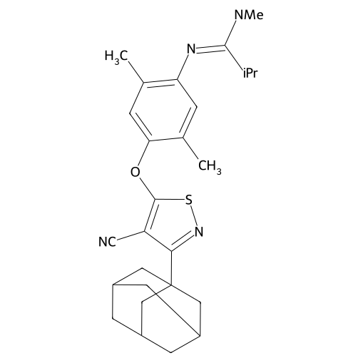 CNC(=Nc1cc(C)c(Oc2snc(C34CC5CC(CC(C5)C3)C4)c2C#N)cc1C)C(C)C